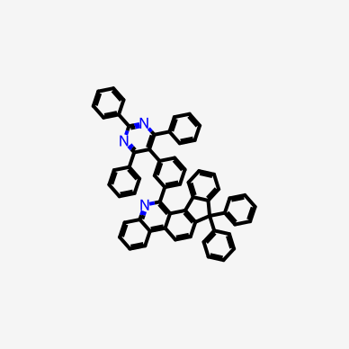 c1ccc(-c2nc(-c3ccccc3)c(-c3cccc(-c4nc5ccccc5c5ccc6c(c45)-c4ccccc4C6(c4ccccc4)c4ccccc4)c3)c(-c3ccccc3)n2)cc1